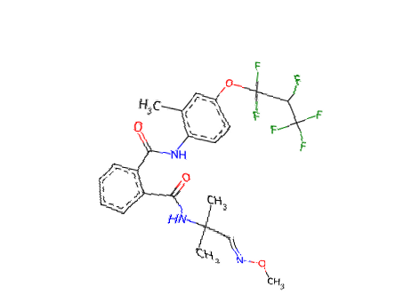 CO/N=C/C(C)(C)NC(=O)c1ccccc1C(=O)Nc1ccc(OC(F)(F)C(F)C(F)(F)F)cc1C